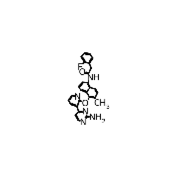 Cc1ccc2c(NC(=O)Cc3ccccc3F)cccc2c1Oc1ncccc1-c1ccnc(N)n1